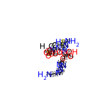 CC1(C)C(NC(=O)/C(=N\O[C@@H](COc2cnc(-n3cc[n+](CCCN)c3)nc2)C(=O)O)c2csc(N)n2)C(=O)N1OS(=O)(=O)[O-]